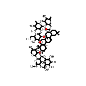 CCNC(=O)C(OC)C(O)C(OC1OCC(O)C(O)C1O)C(OC1OC(CO)C(O)C(O)C1O)O[C@H]1CC[C@@]2(C)C(CC[C@]3(C)C2CC=C2C4CC(C)(C)CC[C@]4(C(=O)OC4OC(C)C(O)C(O)C4OC4OC(C)C(O)C(O)C4OC4OC(CO)C(O)C(O)C4O)[C@H](O)C[C@]23C)[C@]1(C)C=O